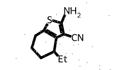 CCC1CCCc2sc(N)c(C#N)c21